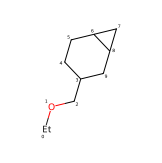 CCOCC1CCC2CC2C1